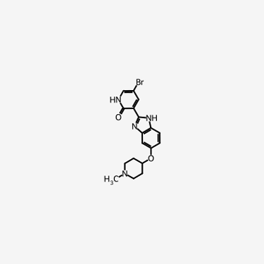 CN1CCC(Oc2ccc3[nH]c(-c4cc(Br)c[nH]c4=O)nc3c2)CC1